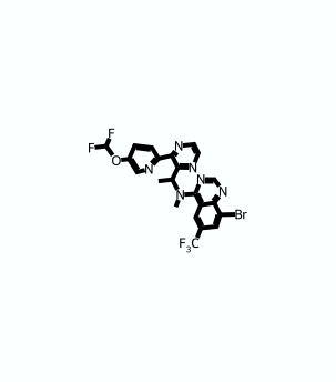 CC(c1nccnc1-c1ccc(OC(F)F)cn1)N(C)c1ncnc2c(Br)cc(C(F)(F)F)cc12